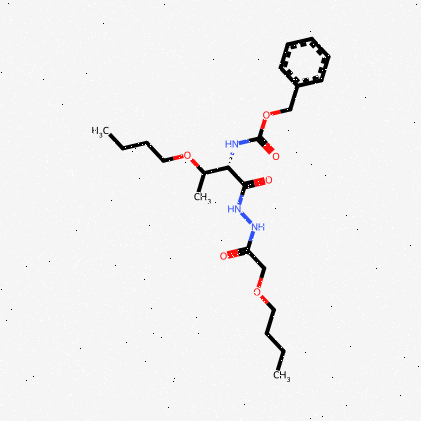 CCCCOCC(=O)NNC(=O)[C@@H](NC(=O)OCc1ccccc1)C(C)OCCCC